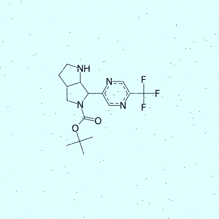 CC(C)(C)OC(=O)N1CC2CCNC2C1c1cnc(C(F)(F)F)cn1